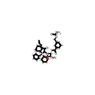 C=CCOC(=O)C(N1C(=O)[C@H](C(C)C)[C@H]1CC(=O)c1cccc(COC(N)=O)c1)=P(c1ccccc1)(c1ccccc1)c1ccccc1